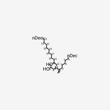 C=C(CCCCCCCCCCCCCCC)N(CCO)CC(O)CCCCCCCCCCCCCCCCCCC